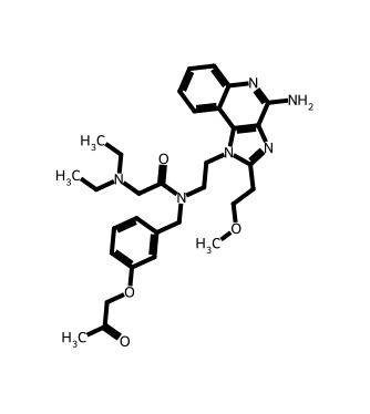 CCN(CC)CC(=O)N(CCn1c(CCOC)nc2c(N)nc3ccccc3c21)Cc1cccc(OCC(C)=O)c1